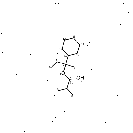 CCC(C)(O[C@H](O)C(C)C)C1CCCCC1